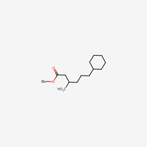 CC(C)(C)OC(=O)CC(CCCC1CCCCC1)C(=O)O